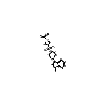 CC(C)C(=O)N1CC(S(=O)(=O)N2CCC(c3c[nH]c4ncccc34)CC2)C1